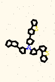 c1cc(-c2ccc3ccccc3c2)cc(N(c2ccc(-c3ccc4c(c3)sc3ccccc34)cc2)c2cccc(-c3cccc4sc5ccccc5c34)c2)c1